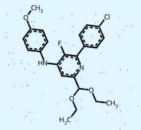 CCOC(OCC)c1cc(Nc2ccc(OC)cc2)c(F)c(-c2ccc(Cl)cc2)n1